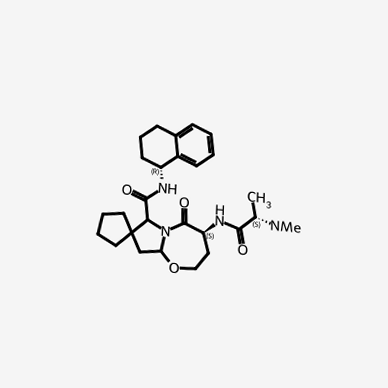 CN[C@@H](C)C(=O)N[C@H]1CCOC2CC3(CCCC3)C(C(=O)N[C@@H]3CCCc4ccccc43)N2C1=O